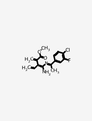 C=C/C(C(=C)C(=O)OC)=C(N)/N=C(\C)c1ccc(Cl)c(F)c1